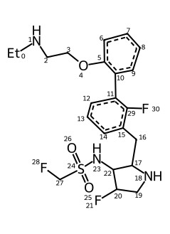 CCNCCOc1ccccc1-c1cccc(CC2NCC(F)C2NS(=O)(=O)CF)c1F